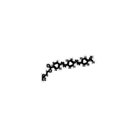 CCOCCOC(=O)c1ccc(N=Nc2ccc(N=Nc3ccc(N(C)C)cc3)cc2)cc1